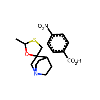 CC1OC2(CS1)CN1CCC2CC1.O=C(O)c1ccc([N+](=O)[O-])cc1